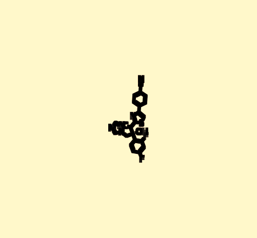 CC(c1nc(-c2ccc(C#N)cc2)cs1)[C@](O)(Cn1cncn1)c1ccc(F)cc1F